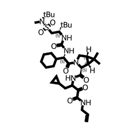 C=CCNC(=O)C(=O)C(CC1CC1)NC(=O)[C@@H]1[C@@H]2[C@H](CN1C(=O)[C@@H](NC(=O)N[C@H](CS(=O)(=O)N(C)C(C)(C)C)C(C)(C)C)C1CCCCC1)C2(C)C